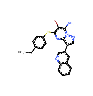 Nc1c(Br)c(Sc2ccc(CC(=O)O)cc2)nc2c(-c3cnc4ccccc4c3)cnn12